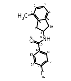 Cc1cccc2c1CC(NC(=O)c1ccc(F)cc1)C2